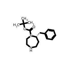 CC(C)(C)OC(=O)N1CCNCC[C@H]1Cc1ccccc1